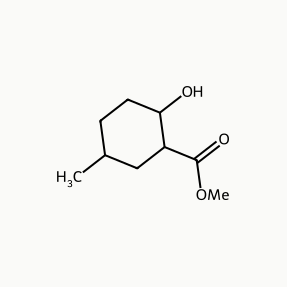 COC(=O)C1CC(C)CCC1O